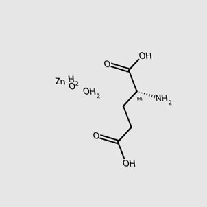 N[C@H](CCC(=O)O)C(=O)O.O.O.[Zn]